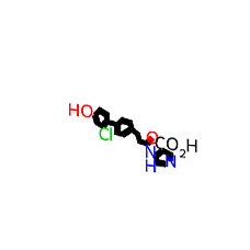 O=C(CCc1ccc(-c2ccc(O)cc2Cl)cc1)Nc1ccncc1C(=O)O